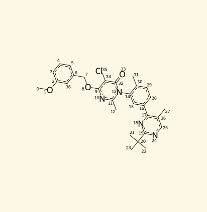 COc1cccc(COc2nc(C)n(-c3cc(-c4nc(C(C)(C)C)ncc4C)ccc3C)c(=O)c2Cl)c1